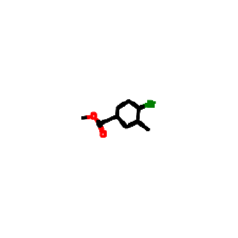 COC(=O)C1CCC(Br)C(C)C1